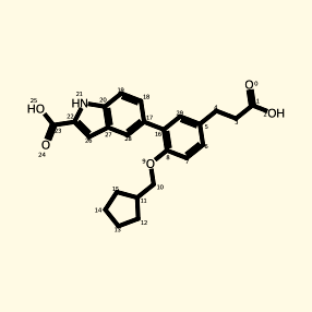 O=C(O)CCc1ccc(OCC2CCCC2)c(-c2ccc3[nH]c(C(=O)O)cc3c2)c1